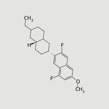 CCC1CCC2C[C@H](c3cc4c(F)cc(OC)cc4cc3F)CC[C@@H]2C1